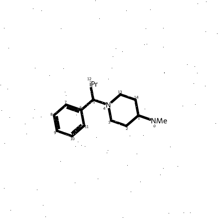 CNC1CCN(C(c2ccccc2)C(C)C)CC1